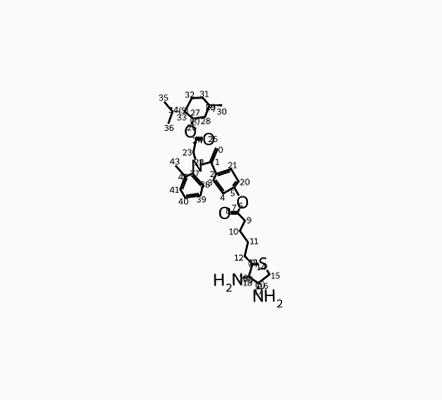 C=C(c1ccc(OC(=O)CCCC[C@H]2SC[C@@H](N)[C@H]2N)cc1)N(CC(=O)O[C@@H]1C[C@H](C)CC[C@H]1C(C)C)c1ccccc1C